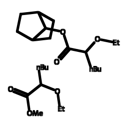 CCCCC(OCC)C(=O)OC.CCCCC(OCC)C(=O)OC1C2CCC1CC2